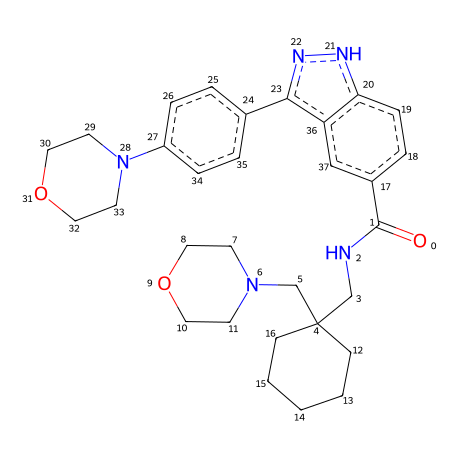 O=C(NCC1(CN2CCOCC2)CCCCC1)c1ccc2[nH]nc(-c3ccc(N4CCOCC4)cc3)c2c1